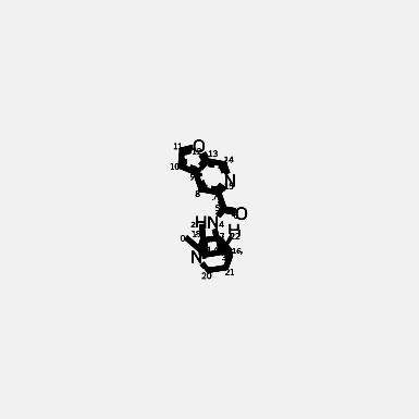 CC1(C)[C@H](NC(=O)c2cc3ccoc3cn2)C2CCN1CC2